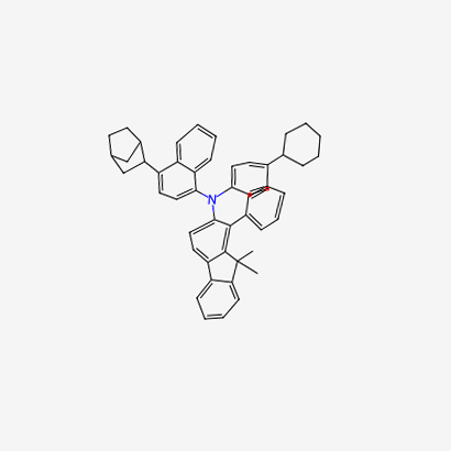 CC1(C)c2ccccc2-c2ccc(N(c3ccc(C4CCCCC4)cc3)c3ccc(C4CC5CCC4C5)c4ccccc34)c(-c3ccccc3)c21